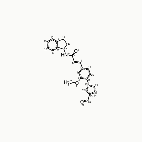 COc1cc(C=CC(=O)NC2CCc3ccccc32)ccc1-n1cnc(C=O)c1